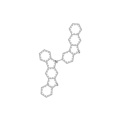 c1ccc2cc3c(cc2c1)sc1ccc(-n2c4ccccc4c4cc5c(cc42)sc2ccccc25)cc13